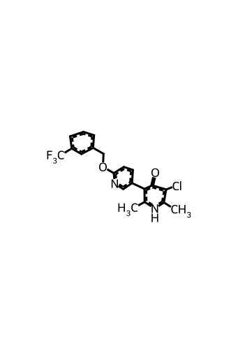 Cc1[nH]c(C)c(-c2ccc(OCc3cccc(C(F)(F)F)c3)nc2)c(=O)c1Cl